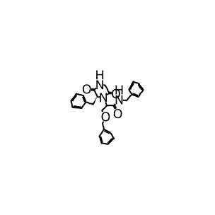 O=C(NCc1ccccc1)C(COCc1ccccc1)N1C(=O)CNC(=O)[C@@H]1Cc1ccccc1